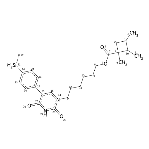 CC1CC(C)(C(=O)OCCCCCCn2cc(-c3ccc([SiH2]F)cc3)c(=O)[nH]c2=O)C1C